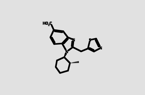 C[C@@H]1CCCC[C@H]1n1c(Cc2cncs2)nc2cc(C(=O)O)ccc21